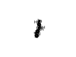 CC(=O)Nc1ccc(N(S)C(=O)Nc2ccc(N(C)c3ccccc3)c(Cl)c2)cc1